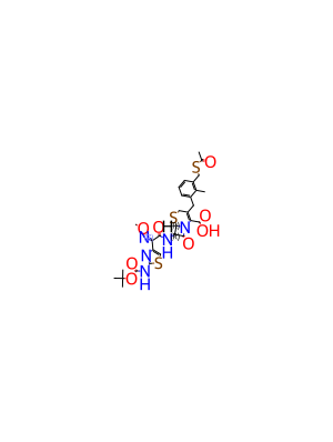 CO/N=C(\C(=O)N[C@@H]1C(=O)N2C(C(=O)O)=C(Cc3cccc(CSC(C)=O)c3C)CS[C@H]12)c1csc(NC(=O)OC(C)(C)C)n1